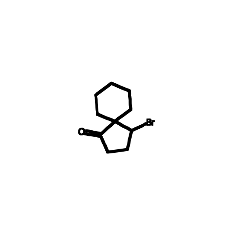 O=C1CCC(Br)C12CCCCC2